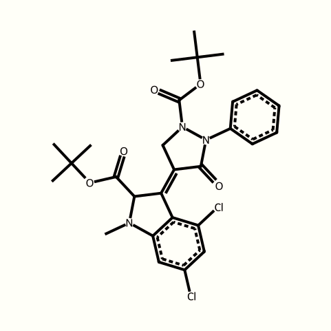 CN1c2cc(Cl)cc(Cl)c2C(=C2CN(C(=O)OC(C)(C)C)N(c3ccccc3)C2=O)C1C(=O)OC(C)(C)C